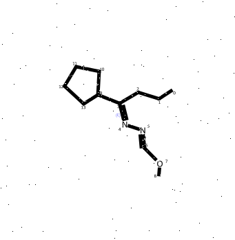 CCC/C(=N\N=COC)C1CCCC1